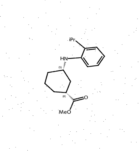 COC(=O)[C@@H]1CCC[C@H](Nc2ccccc2C(C)C)C1